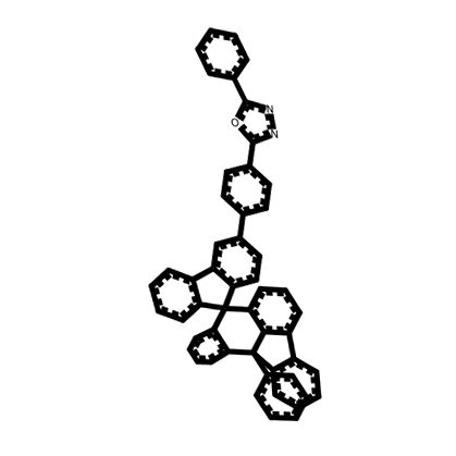 c1ccc(-c2nnc(-c3ccc(-c4ccc5c(c4)-c4ccccc4C54c5ccccc5C5(c6ccccc6)c6ccccc6-c6cccc4c65)cc3)o2)cc1